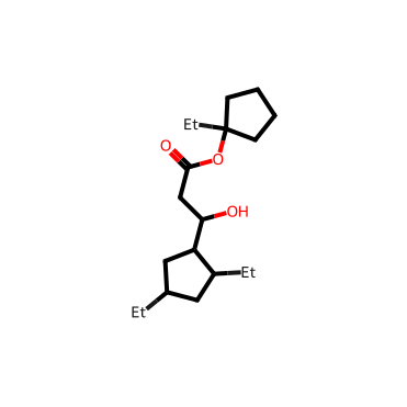 CCC1CC(CC)C(C(O)CC(=O)OC2(CC)CCCC2)C1